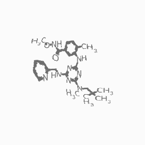 CONC(=O)c1ccc(C)c(Nc2nc(NCc3ccccn3)nc(N(C)CC(C)(C)C)n2)c1